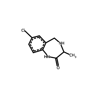 CC1NCc2cc(Cl)ccc2NC1=O